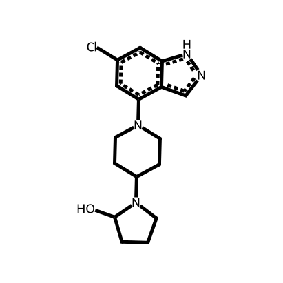 OC1CCCN1C1CCN(c2cc(Cl)cc3[nH]ncc23)CC1